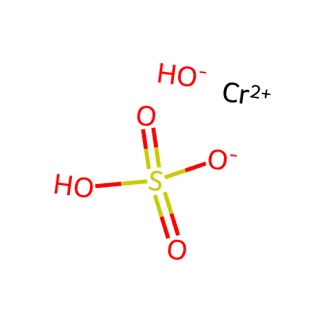 O=S(=O)([O-])O.[Cr+2].[OH-]